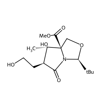 COC(=O)[C@@]12CO[C@@H](C(C)(C)C)N1C(=O)[C@@H](CCO)[C@@]2(C)O